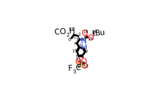 C[C@@H](C[C@H](Cc1ccc(OS(=O)(=O)C(F)(F)F)cc1)NC(=O)OC(C)(C)C)C(=O)O